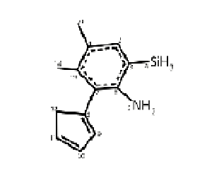 Cc1cc([SiH3])c(N)c(C2=CC=CC2)c1C